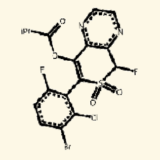 CC(C)C(=O)OC1=C(c2c(F)ccc(Br)c2Cl)S(=O)(=O)C(F)c2nccnc21